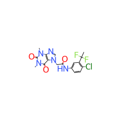 Cn1c(=O)c2c(ncn2CC(=O)Nc2ccc(Cl)c(C(C)(F)F)c2)n(C)c1=O